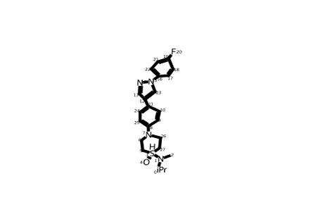 CC(C)N(C)[SH]1(=O)CCN(c2ccc(-c3cnn(-c4ccc(F)cc4)c3)cc2)CC1